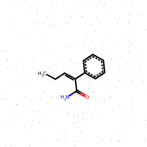 CCC=C(C(N)=O)c1ccccc1